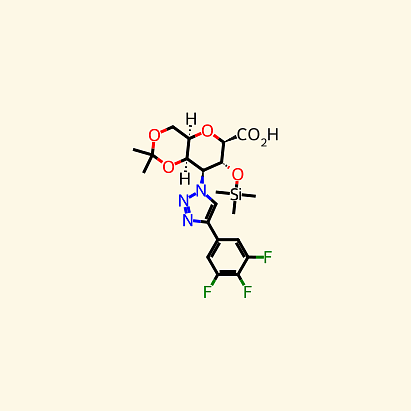 CC1(C)OC[C@H]2O[C@@H](C(=O)O)[C@H](O[Si](C)(C)C)[C@@H](n3cc(-c4cc(F)c(F)c(F)c4)nn3)[C@H]2O1